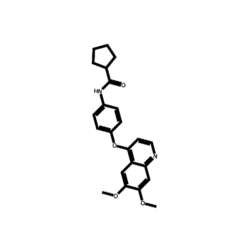 COc1cc2nccc(Oc3ccc(NC(=O)C4CCCC4)cc3)c2cc1OC